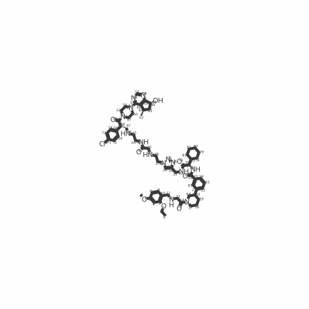 CCOc1cc(OC)ccc1CNCC(=O)N1CCCC(c2cccc(C(=O)N[C@@H](C(=O)NCc3cn(CCNCC(=O)NCCNC[C@@H](C(=O)N4CCN(c5ncnc6c5[C@H](C)C[C@H]6O)CC4)c4ccc(Cl)cc4)nn3)C3CCCCC3)c2)C1